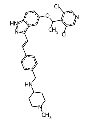 CC(Oc1ccc2[nH]nc(/C=C/c3ccc(CNC4CCN(C)CC4)cc3)c2c1)c1c(Cl)cncc1Cl